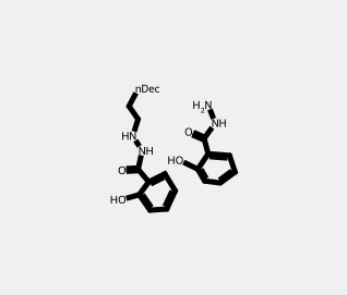 CCCCCCCCCCCCNNC(=O)c1ccccc1O.NNC(=O)c1ccccc1O